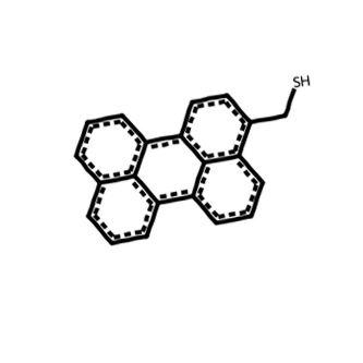 SCc1ccc2c3cccc4cccc(c5cccc1c52)c43